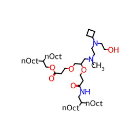 CCCCCCCCC(CCCCCCCC)CNC(=O)CCOC(COCCC(=O)OCC(CCCCCCCC)CCCCCCCC)CN(C)CCN(CCO)C1CCC1